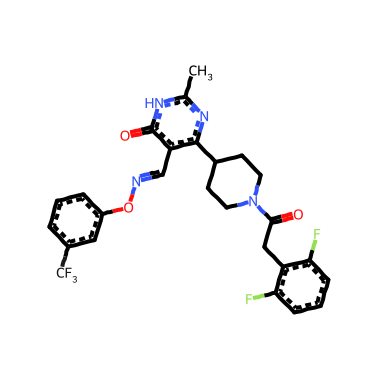 Cc1nc(C2CCN(C(=O)Cc3c(F)cccc3F)CC2)c(/C=N/Oc2cccc(C(F)(F)F)c2)c(=O)[nH]1